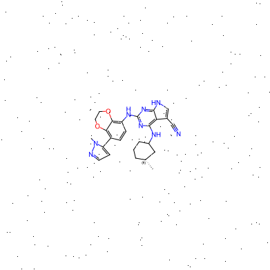 C[C@@H]1CCCC(Nc2nc(Nc3ccc(-c4ccnn4C)c4c3OCCO4)nc3[nH]cc(C#N)c23)C1